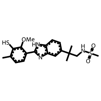 COc1c(-c2nc3cc(C(C)(C)CNS(C)(=O)=O)ccc3[nH]2)ccc(C)c1S